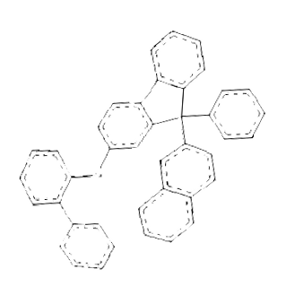 c1ccc(-c2ccccc2Nc2ccc3c(c2)C(c2ccccc2)(c2ccc4ccccc4c2)c2ccccc2-3)cc1